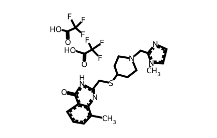 Cc1cccc2c(=O)[nH]c(CSC3CCN(Cc4nccn4C)CC3)nc12.O=C(O)C(F)(F)F.O=C(O)C(F)(F)F